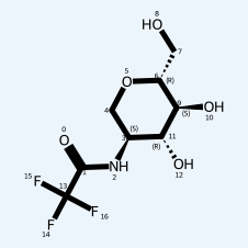 O=C(N[C@H]1[CH]O[C@H](CO)[C@@H](O)[C@@H]1O)C(F)(F)F